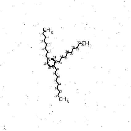 CCCCCCCCCc1cc[n+](CCCCCCCC)cc1CCCCCCCCC